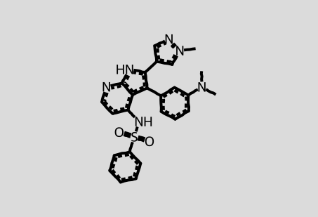 CN(C)c1cccc(-c2c(-c3cnn(C)c3)[nH]c3nccc(NS(=O)(=O)c4ccccc4)c23)c1